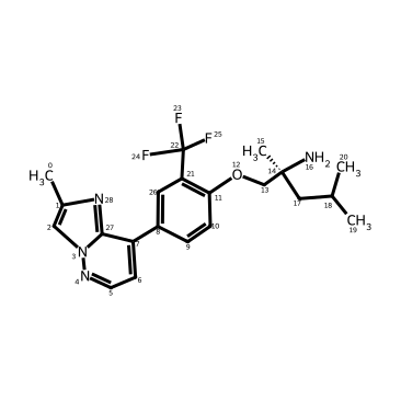 Cc1cn2nccc(-c3ccc(OC[C@@](C)(N)CC(C)C)c(C(F)(F)F)c3)c2n1